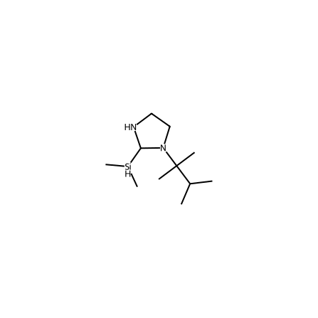 CC(C)C(C)(C)N1CCNC1[SiH](C)C